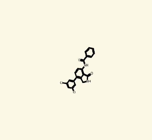 O=C(Nc1ccc(-c2cc(Cl)cc(Cl)c2)c2c1C(=O)NC2)c1ccccc1